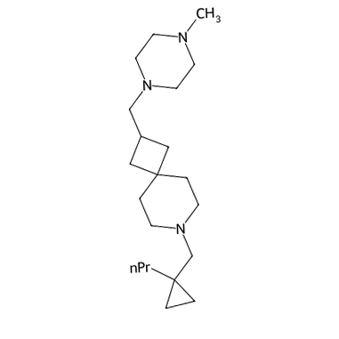 CCCC1(CN2CCC3(CC2)CC(CN2CCN(C)CC2)C3)CC1